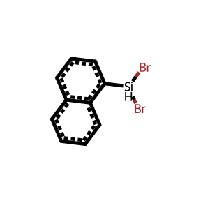 Br[SiH](Br)c1cccc2ccccc12